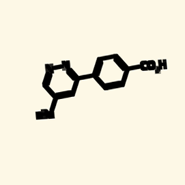 CCCCc1cnnc(-c2ccc(C(=O)O)cc2)c1